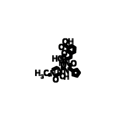 CCN1CCN(C(=O)N[C@@H](C(=O)N[C@H]2Cc3cccc(C(=O)O)c3OB2O)C2CCCC2)C(=O)C1=O